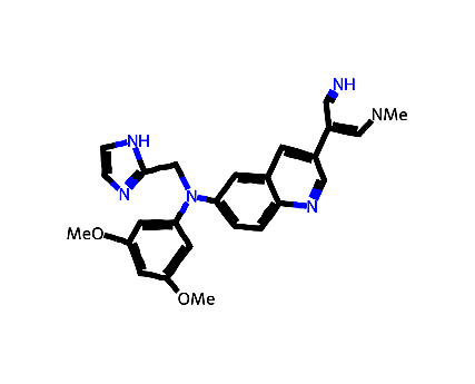 CN/C=C(\C=N)c1cnc2ccc(N(Cc3ncc[nH]3)c3cc(OC)cc(OC)c3)cc2c1